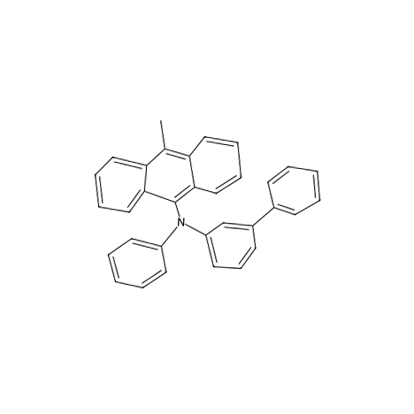 Cc1c2ccccc2c(N(c2ccccc2)c2cccc(-c3ccccc3)c2)c2ccccc12